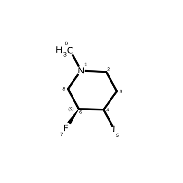 CN1CCC(I)[C@@H](F)C1